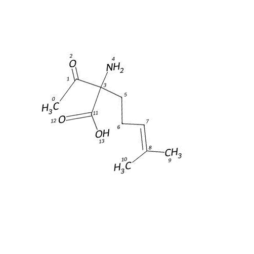 CC(=O)C(N)(CCC=C(C)C)C(=O)O